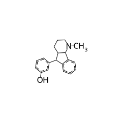 CN1CCCC2C(c3cccc(O)c3)c3ccccc3C21